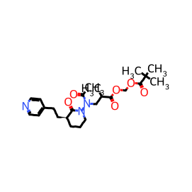 CC(=O)N(CC(C)C(=O)OCOC(=O)C(C)(C)C)N1CCC[C@@H](CCc2ccncc2)C1=O